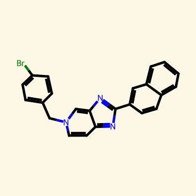 Brc1ccc(Cn2ccc3nc(-c4ccc5ccccc5c4)nc-3c2)cc1